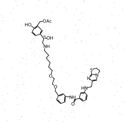 CC(=O)OCc1cc([C@@H](O)CNCCCCCCOCCOCc2cccc(NC(=O)c3cccc(NCc4cn5c(n4)SCC5)c3)c2)ccc1O